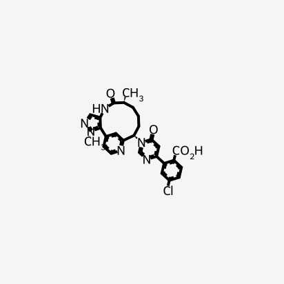 C[C@@H]1CCC[C@H](n2cnc(-c3cc(Cl)ccc3C(=O)O)cc2=O)c2cc(ccn2)-c2c(cnn2C)NC1=O